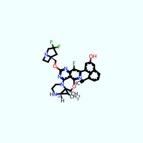 C#Cc1cccc2cc(O)cc(-c3nc4c5c(nc(OC[C@@]67CCN6CC(F)(F)C7)nc5c3F)N3CCN[C@H]5C(C)C53[C@H](C)O4)c12